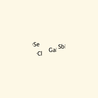 [Cl].[Ga].[Sb].[Se]